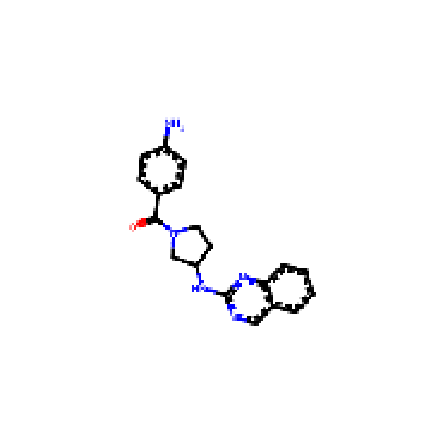 Nc1ccc(C(=O)N2CC[C@@H](Nc3ncc4ccccc4n3)C2)cc1